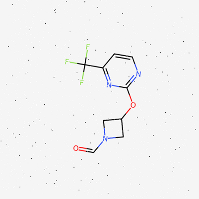 O=CN1CC(Oc2nccc(C(F)(F)F)n2)C1